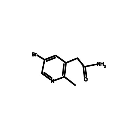 Cc1ncc(Br)cc1CC(N)=O